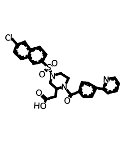 O=C(O)CC1CN(S(=O)(=O)c2ccc3cc(Cl)ccc3c2)CCN1C(=O)c1ccc(-c2ccccn2)cc1